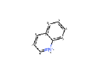 [c]1ccc2c(c1)C=CC=[N+]2